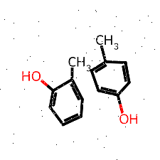 Cc1ccc(O)cc1.Cc1ccccc1O